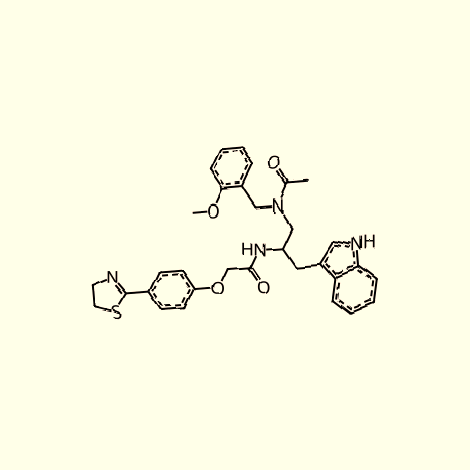 COc1ccccc1CN(CC(Cc1c[nH]c2ccccc12)NC(=O)COc1ccc(C2=NCCS2)cc1)C(C)=O